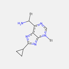 CCC(N)c1ncn(CC)c2nc(C3CC3)nc1-2